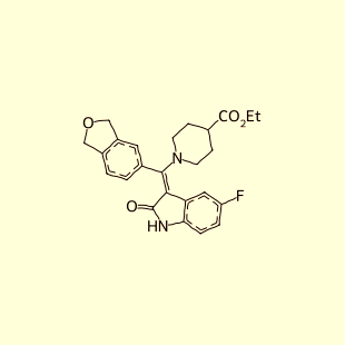 CCOC(=O)C1CCN(C(=C2C(=O)Nc3ccc(F)cc32)c2ccc3c(c2)COC3)CC1